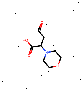 O=CCC(C(=O)O)N1CCOCC1